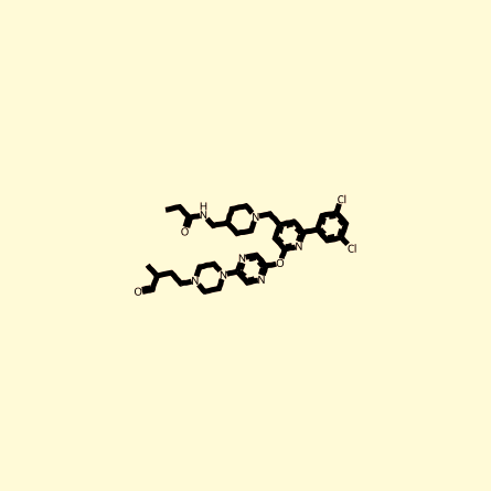 CCC(=O)NCC1CCN(Cc2cc(Oc3cnc(N4CCN(CCC(C)C=O)CC4)cn3)nc(-c3cc(Cl)cc(Cl)c3)c2)CC1